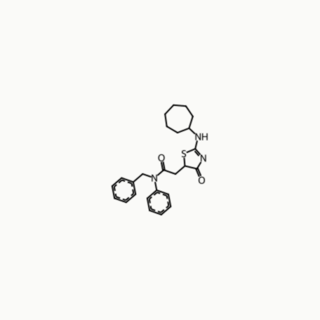 O=C1N=C(NC2CCCCCC2)SC1CC(=O)N(Cc1ccccc1)c1ccccc1